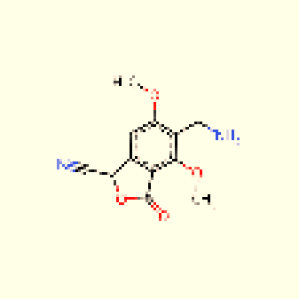 COc1cc2c(c(OC)c1CN)C(=O)OC2C#N